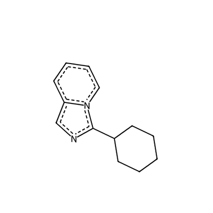 c1ccn2c(C3CCCCC3)ncc2c1